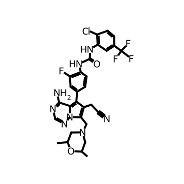 CC1CN(Cc2c(CC#N)c(-c3ccc(NC(=O)Nc4cc(C(F)(F)F)ccc4Cl)c(F)c3)c3c(N)ncnn23)CC(C)O1